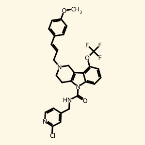 COc1ccc(/C=C/CN2CCc3c(c4c(OC(F)(F)F)cccc4n3C(=O)NCc3ccnc(Cl)c3)C2)cc1